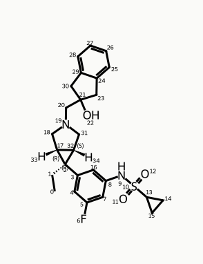 CC[C@]1(c2cc(F)cc(NS(=O)(=O)C3CC3)c2)[C@@H]2CN(CC3(O)Cc4ccccc4C3)C[C@@H]21